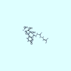 CC(C)=CCCC(C)CCSc1nc(=O)ccn1[C@@H]1O[C@H](CO)[C@@H](O)[C@H]1O